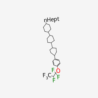 CCCCCCCC1CCC(C2CCC(C3CCC(c4ccc(OC(F)(F)C(F)C(F)(F)F)cc4)CC3)CC2)CC1